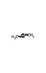 C[CH][CH]N1CCN([CH][CH]C)CC1